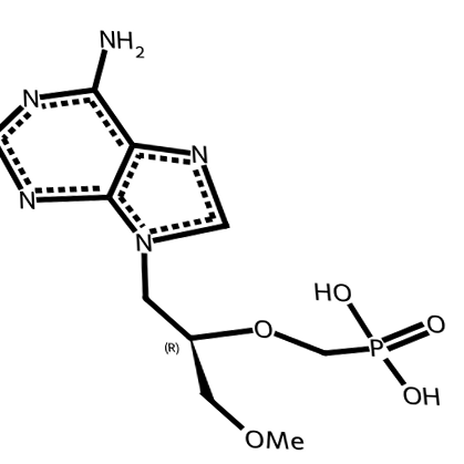 COC[C@@H](Cn1cnc2c(N)ncnc21)OCP(=O)(O)O